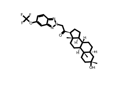 C[C@@]1(O)CC[C@@]2(C)[C@@H](CC[C@@H]3[C@@H]2CC[C@]2(C)[C@@H](C(=O)Cn4nc5ccc(OC(F)(F)F)cc5n4)CC[C@@H]32)C1